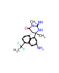 CN1C(=N)N[C@](C)(c2cccc(N)c2)[C@H](c2ccc(C(C)(F)F)cc2)C1=O